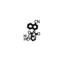 C[C@@]12C(=O)N(c3ccc(C#N)c4ccccc34)C(=O)N1CC[C@@H]2O